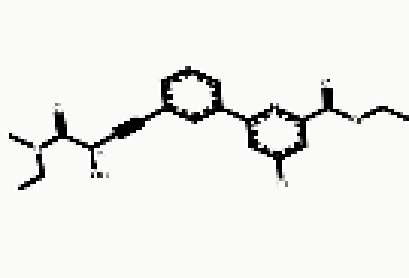 CCOC(=O)c1cc(Cl)cc(-c2cccc(C#C[C@@H](O)C(=O)N(C)CC)c2)n1